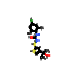 CCc1cc(Cl)cc(CC)c1NC(=O)NSc1cc(C(C)(C)O)cs1